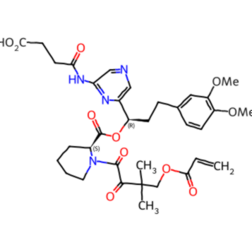 C=CC(=O)OCC(C)(C)C(=O)C(=O)N1CCCC[C@H]1C(=O)O[C@H](CCc1ccc(OC)c(OC)c1)c1cncc(NC(=O)CCC(=O)O)n1